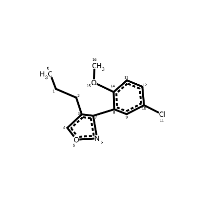 CCCc1conc1-c1cc(Cl)ccc1OC